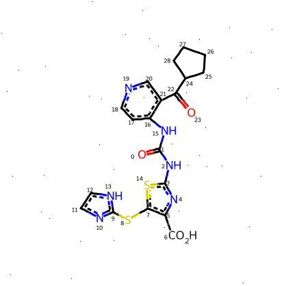 O=C(Nc1nc(C(=O)O)c(Sc2ncc[nH]2)s1)Nc1ccncc1C(=O)C1CCCC1